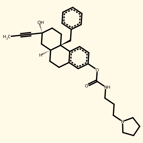 CC#C[C@@]1(O)CC[C@]2(Cc3ccccc3)c3ccc(OC(=O)NCCCN4CCCC4)cc3CC[C@H]2C1